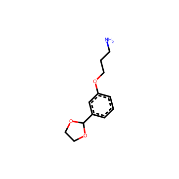 NCCCOc1cccc(C2OCCO2)c1